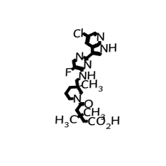 CC(C)(CC(=O)O)CC(=O)N1CCC[C@@](C)(CNc2nc(-c3c[nH]c4ncc(Cl)cc34)ncc2F)C1